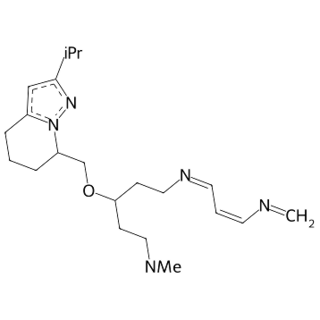 C=N/C=C\C=N/CCC(CCNC)OCC1CCCc2cc(C(C)C)nn21